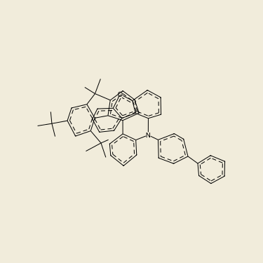 CC(C)(C)c1cc(C(C)(C)C)c2c(c1)C(C)(C)c1cccc(-c3ccccc3N(c3ccc(-c4ccccc4)cc3)c3cccc4oc5ccccc5c34)c1-2